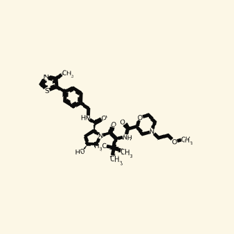 COCCN1CCOC(C(=O)NC(C(=O)N2C[C@H](O)C[C@H]2C(=O)NCc2ccc(-c3scnc3C)cc2)C(C)(C)C)C1